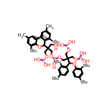 Cc1cc(C(C)(C)C)c(OC(c2c(C(C)(C)C)cc(C)cc2C(C)(C)C)C(CO)(COP(O)O)COP(O)OCC(COP(O)O)(COP(O)O)C(Oc2ccc(C(C)(C)C)cc2C(C)(C)C)c2ccc(C(C)(C)C)cc2C(C)(C)C)c(C(C)(C)C)c1